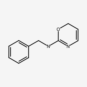 C1=CN=C([N]Cc2ccccc2)OC1